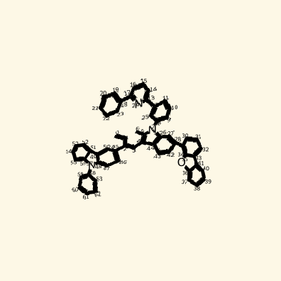 C=C/C(=C\c1c(C)n(-c2cccc(-c3cccc(-c4ccccc4)n3)c2)c2cc(-c3cccc4c3oc3ccccc34)ccc12)c1ccc2c(c1)c1ccccc1n2-c1ccccc1